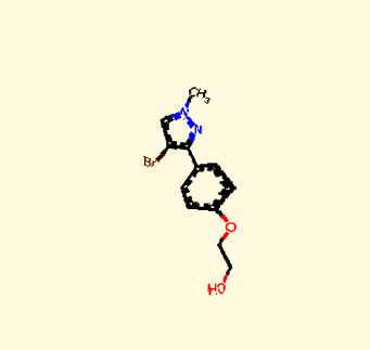 Cn1cc(Br)c(-c2ccc(OCCO)cc2)n1